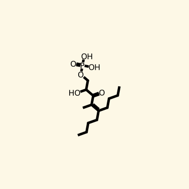 CCCCC(CCCC)=C(C)C(=O)C(O)COP(=O)(O)O